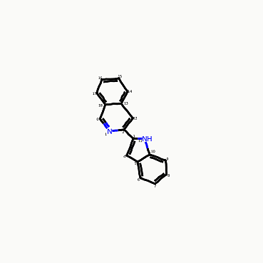 [c]1nc(-c2cc3ccccc3[nH]2)cc2ccccc12